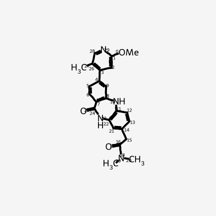 COc1cc(-c2ccc3c(c2)Nc2ccc(CC(=O)N(C)C)cc2NC3=O)c(C)cn1